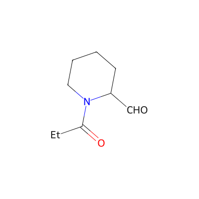 CCC(=O)N1CCCCC1C=O